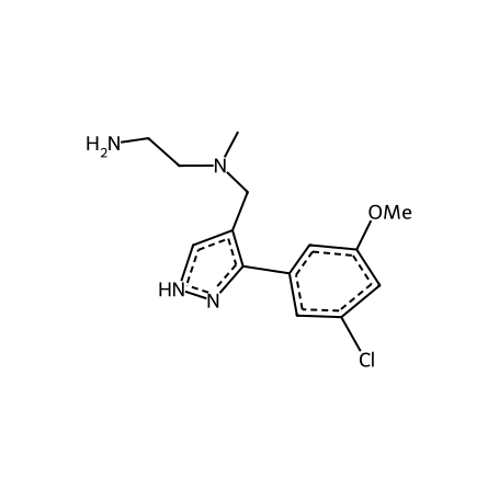 COc1cc(Cl)cc(-c2n[nH]cc2CN(C)CCN)c1